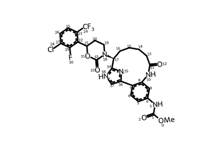 COC(=O)Nc1ccc2c(c1)NC(=O)CCCC[C@H](N1CCC(c3c(C(F)(F)F)ccc(Cl)c3F)OC1=O)c1nc-2c[nH]1